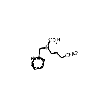 O=CCCCN(Cc1ccccn1)C(=O)O